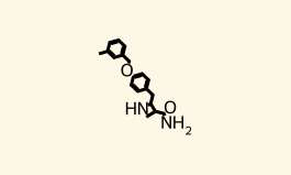 Cc1cccc(COc2ccc(CC3NCC3C(N)=O)cc2)c1